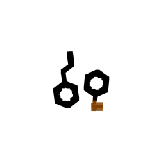 C=CCc1ccccc1.Sc1ccccc1